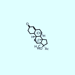 CC(=O)[C@@]1(O)CC[C@@]2(C)[C@@H]3CCC4=CC(=O)CC[C@]4(C)[C@H]3CC[C@@]21C